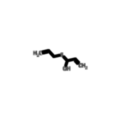 C=CCS[C](O)C=C